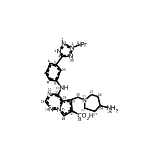 CC(C)n1nnc(-c2cccc(Nc3ncnn4cc(C(=O)O)c(CN5CCC(N)CC5)c34)c2)n1